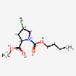 CCCCOC(=O)N1CC(F)CC1C(=O)OC